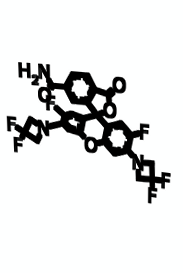 NC(=O)c1ccc2c(c1)C1(OC2=O)c2cc(F)c(N3CC(F)(F)C3)cc2Oc2cc(N3CC(F)(F)C3)c(F)cc21